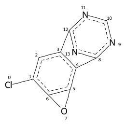 Clc1cc2c(c3c1O3)-c1ncnc-2n1